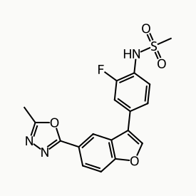 Cc1nnc(-c2ccc3occ(-c4ccc(NS(C)(=O)=O)c(F)c4)c3c2)o1